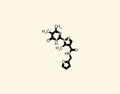 Cc1nc(-n2ncc(C(=O)NCc3ccco3)c2C)[nH]c(=O)c1C